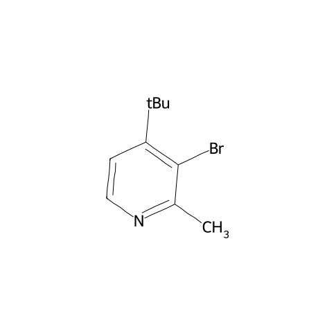 Cc1nccc(C(C)(C)C)c1Br